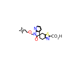 C[Si](C)(C)CCOCN1C(=O)C2(CCc3nc(C(=O)O)sc3C2)c2cccnc21